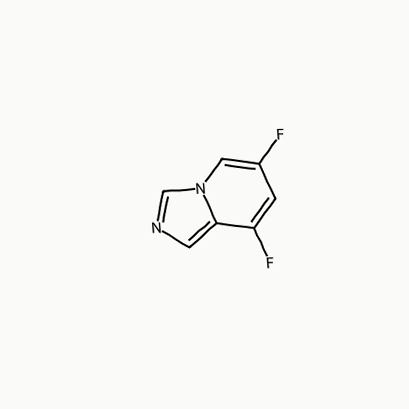 Fc1cc(F)c2cncn2c1